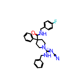 N#C/N=C(\NCc1ccccc1)N1CCC(C(=O)NCc2ccc(F)cc2)(c2ccccc2)CC1